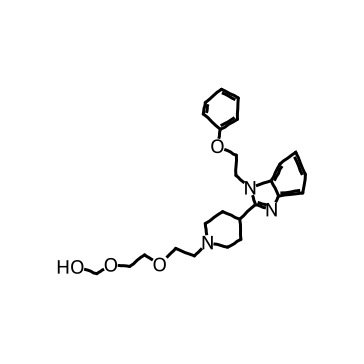 OCOCCOCCN1CCC(c2nc3ccccc3n2CCOc2ccccc2)CC1